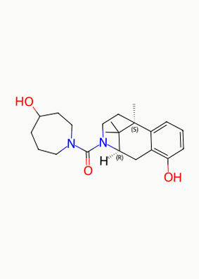 CC1(C)[C@H]2Cc3c(O)cccc3[C@]1(C)CCN2C(=O)N1CCCC(O)CC1